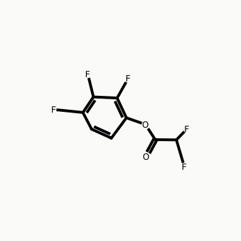 O=C(Oc1ccc(F)c(F)c1F)C(F)F